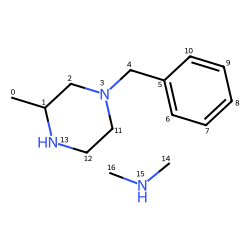 CC1CN(Cc2ccccc2)CCN1.CNC